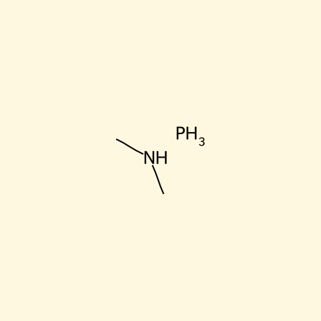 CNC.P